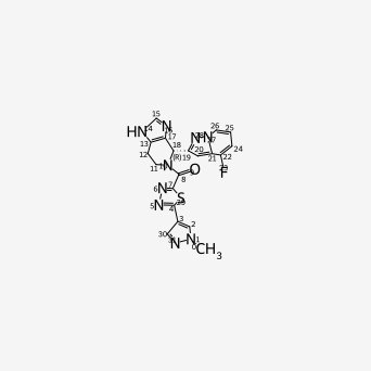 Cn1cc(-c2nnc(C(=O)N3CCc4[nH]cnc4[C@@H]3c3cc4c(F)cccn4n3)s2)cn1